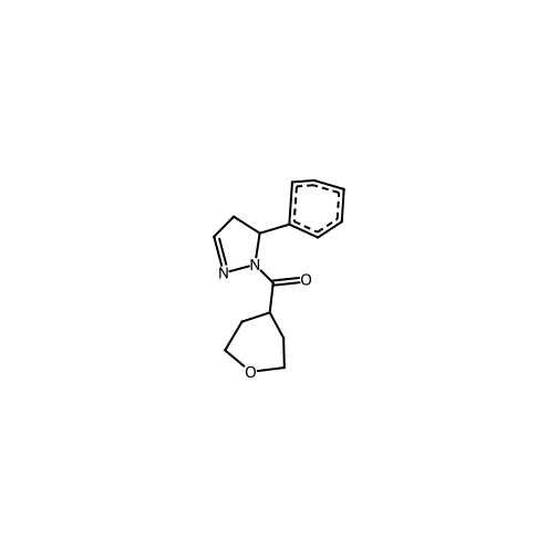 O=C(C1CCOCC1)N1N=CCC1c1ccccc1